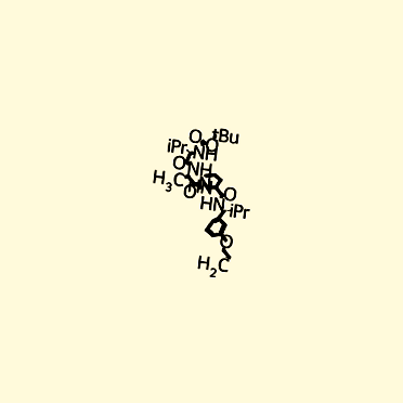 C=CCOc1cccc([C@H](NC(=O)C2CCCN(C(=O)C(C)NC(=O)[C@@H](NC(=O)OC(C)(C)C)C(C)C)N2)C(C)C)c1